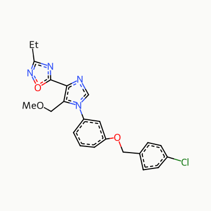 CCc1noc(-c2ncn(-c3cccc(OCc4ccc(Cl)cc4)c3)c2COC)n1